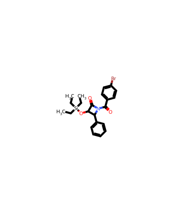 CC[Si](CC)(CC)OC1C(=O)N(C(=O)c2ccc(Br)cc2)C1c1ccccc1